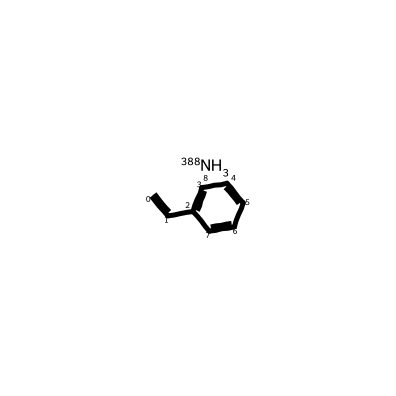 C=Cc1ccccc1.[388NH3]